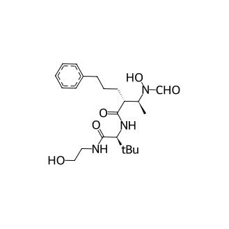 C[C@@H]([C@@H](CCCc1ccccc1)C(=O)N[C@H](C(=O)NCCO)C(C)(C)C)N(O)C=O